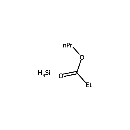 CCCOC(=O)CC.[SiH4]